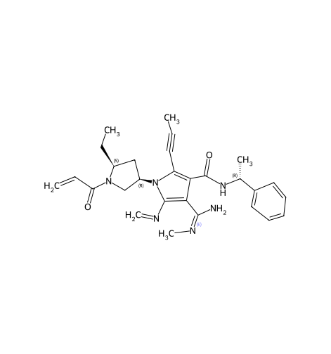 C=CC(=O)N1C[C@H](n2c(C#CC)c(C(=O)N[C@H](C)c3ccccc3)c(/C(N)=N\C)c2N=C)C[C@@H]1CC